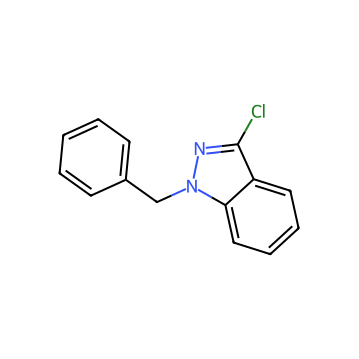 Clc1nn(Cc2ccccc2)c2ccccc12